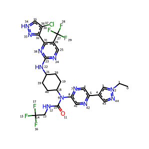 CCn1cc(-c2cnc(N(C(=O)NCC(F)(F)F)C3CCC(Nc4ncc(C(F)(F)F)c(-c5n[nH]cc5Cl)n4)CC3)cn2)cn1